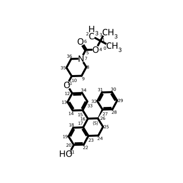 CC(C)(C)OC(=O)N1CCC(Oc2ccc(C3c4ccc(O)cc4CC[C@@H]3c3ccccc3)cc2)CC1